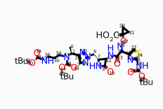 C[C@@H](c1cnn(C[C@H]2NC(=O)[C@H]2NC(=O)C(=NOC2(C(=O)O)CC2)c2csc(NC(=O)OC(C)(C)C)n2)n1)N(CCCNC(=O)OC(C)(C)C)C(=O)OC(C)(C)C